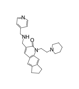 O=c1c(CNCc2ccncc2)cc2cc3c(cc2n1CCN1CCCCC1)CCC3